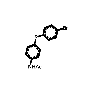 CC(=O)Nc1ccc(Sc2ccc(Br)cc2)cc1